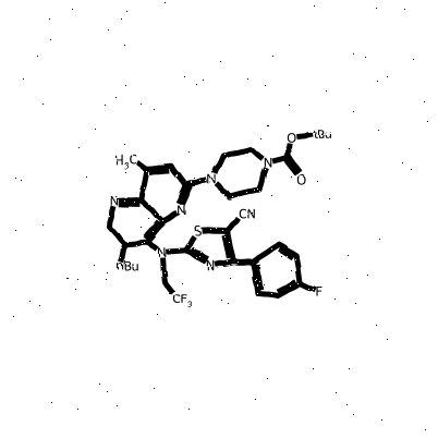 CCCCC1CN=c2c(C)cc(N3CCN(C(=O)OC(C)(C)C)CC3)nc2=C1N(CC(F)(F)F)c1nc(-c2ccc(F)cc2)c(C#N)s1